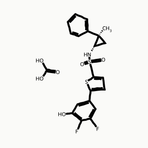 C[C@]1(c2ccccc2)C[C@@H]1NS(=O)(=O)c1ccc(-c2cc(O)c(F)c(F)c2)s1.O=C(O)O